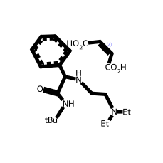 CCN(CC)CCNC(C(=O)NC(C)(C)C)c1ccccc1.O=C(O)/C=C\C(=O)O